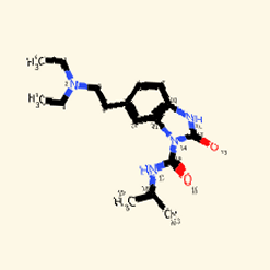 CCN(CC)CCc1ccc2[nH]c(=O)n(C(=O)NC(C)C)c2c1